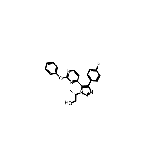 C[C@@H](CO)n1cnc(-c2ccc(F)cc2)c1-c1ccnc(Oc2ccccc2)n1